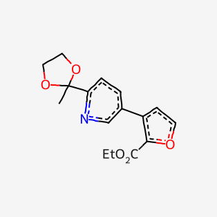 CCOC(=O)c1occc1-c1ccc(C2(C)OCCO2)nc1